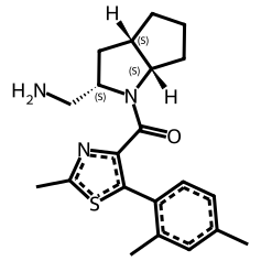 Cc1ccc(-c2sc(C)nc2C(=O)N2[C@H](CN)C[C@@H]3CCC[C@@H]32)c(C)c1